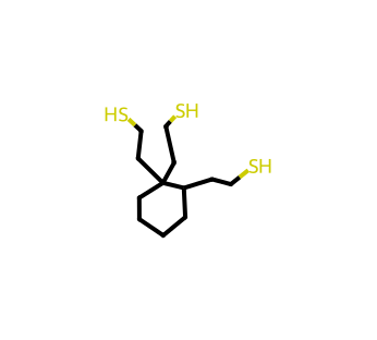 SCCC1CCCCC1(CCS)CCS